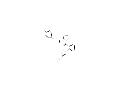 COCc1cn(-c2ccccc2C(=O)N2CCC[C@H]2C(=O)NCc2ccc(Cl)cc2)nn1